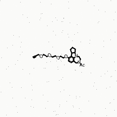 C#CCOCCOCCOCCOc1ccc2c3c1C1CCCC1N3CCN(C(C)=O)C2